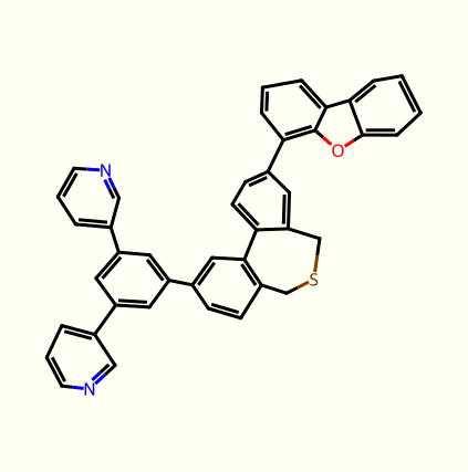 c1cncc(-c2cc(-c3cccnc3)cc(-c3ccc4c(c3)-c3ccc(-c5cccc6c5oc5ccccc56)cc3CSC4)c2)c1